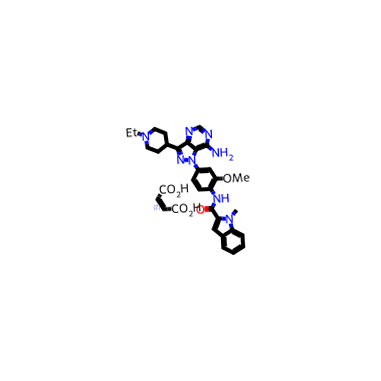 CCN1CCC(c2nn(-c3ccc(NC(=O)c4cc5ccccc5n4C)c(OC)c3)c3c(N)ncnc23)CC1.O=C(O)/C=C\C(=O)O